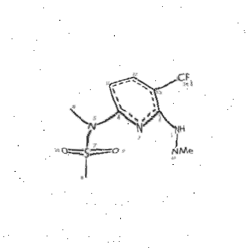 CNNc1nc(N(C)S(C)(=O)=O)ccc1C(F)(F)F